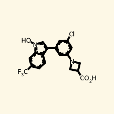 O=C(O)C1CN(c2cc(Cl)cc(-c3cn(O)c4cc(C(F)(F)F)ccc34)c2)C1